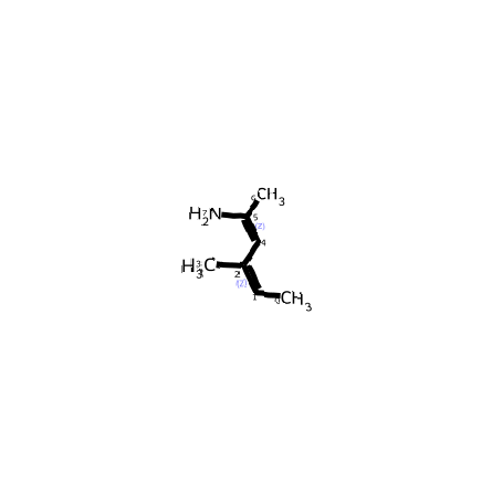 C/C=C(C)\C=C(\C)N